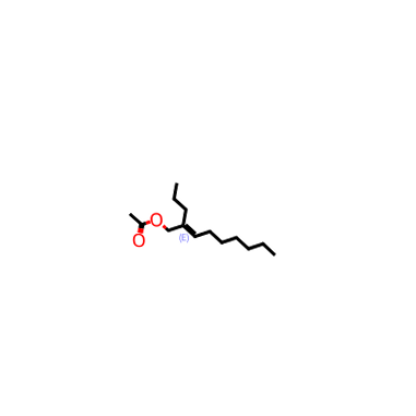 CCCCCC/C=C(\CCC)COC(C)=O